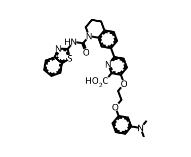 CN(C)c1cccc(OCCOc2ccc(-c3ccc4c(c3)N(C(=O)Nc3nc5ccccc5s3)CCC4)nc2C(=O)O)c1